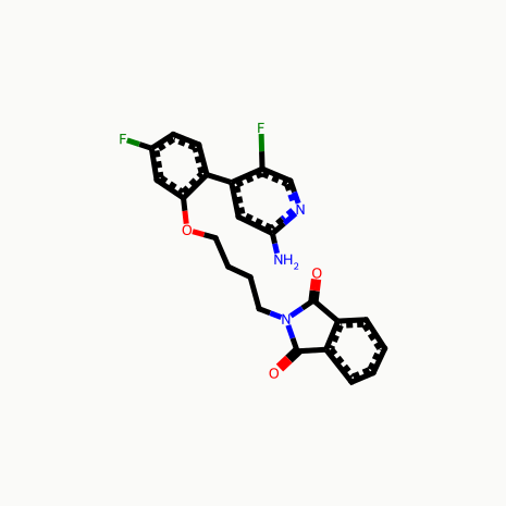 Nc1cc(-c2ccc(F)cc2OCCCCN2C(=O)c3ccccc3C2=O)c(F)cn1